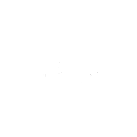 Cn1nccc1-c1ccc(NC(=O)C(CN)c2ccccc2)cc1Cl